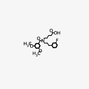 COc1cc(OC)cc(C(=O)N(CCCCC(=O)O)CCCc2cccc(F)c2)c1